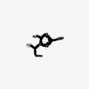 CNC(C)n1nc(SC)nc1N